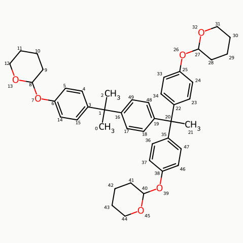 CC(C)(c1ccc(OC2CCCCO2)cc1)c1ccc(C(C)(c2ccc(OC3CCCCO3)cc2)c2ccc(OC3CCCCO3)cc2)cc1